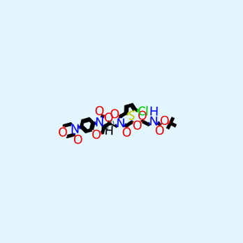 CC(C)(C)OC(=O)NCC(=O)OCC(=O)N(C[C@@H]1OC(=O)N2c3ccc(N4CCOCC4=O)cc3OC[C@@H]12)C(=O)c1ccc(Cl)s1